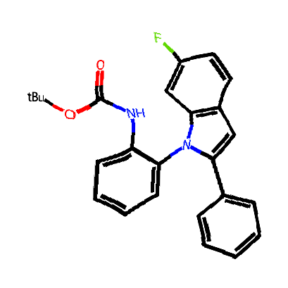 CC(C)(C)OC(=O)Nc1ccccc1-n1c(-c2ccccc2)cc2ccc(F)cc21